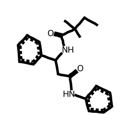 CCC(C)(C)C(=O)NC(CC(=O)Nc1ccccc1)c1ccccc1